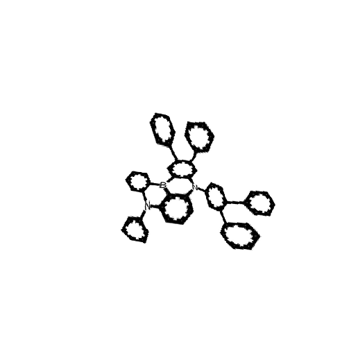 c1ccc(-c2ccc(N3c4cc(-c5ccccc5)c(-c5ccccc5)cc4B4c5ccccc5N(c5ccccc5)c5cccc3c54)cc2-c2ccccc2)cc1